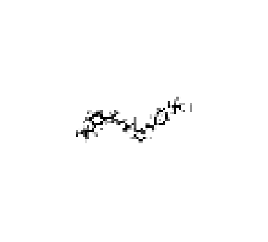 CC(C)(O)CN1CCN(CCN2CCCC2NC(=O)CNC(=O)c2cccc(CC(F)(F)F)c2)CC1